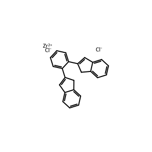 C1=C(c2ccccc2C2=Cc3ccccc3C2)Cc2ccccc21.[Cl-].[Cl-].[Zr+2]